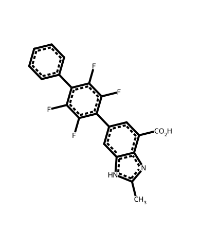 Cc1nc2c(C(=O)O)cc(-c3c(F)c(F)c(-c4ccccc4)c(F)c3F)cc2[nH]1